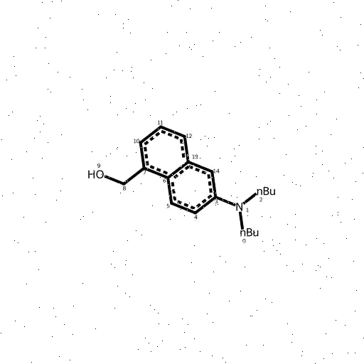 CCCCN(CCCC)c1ccc2c(CO)cccc2c1